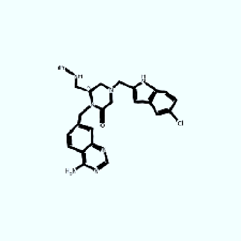 CC(C)NC[C@H]1CN(Cc2cc3cc(Cl)ccc3[nH]2)CC(=O)N1Cc1ccc2c(N)ncnc2c1